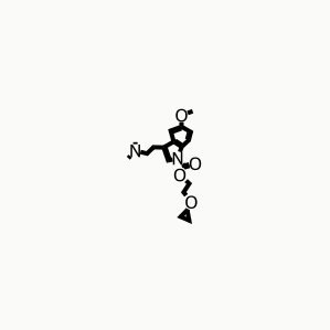 COc1ccc2c(c1)c(CCN(C)C)cn2C(=O)OCCOC1CC1